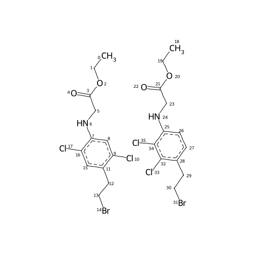 CCOC(=O)CNc1cc(Cl)c(CCBr)cc1Cl.CCOC(=O)CNc1ccc(CCBr)c(Cl)c1Cl